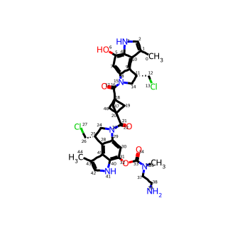 Cc1c[nH]c2c(O)cc3c(c12)[C@H](CCl)CN3C(=O)C12CC(C(=O)N3C[C@@H](CCl)c4c3cc(OC(=O)N(C)CCN)c3[nH]cc(C)c43)(C1)C2